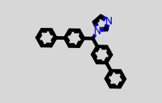 c1ccc(-c2ccc(C(c3ccc(-c4ccccc4)cc3)n3ccnc3)cc2)cc1